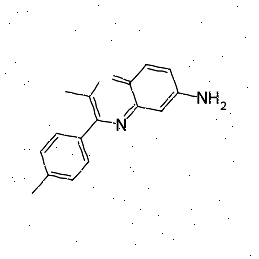 C=C1C=CC(N)=C/C1=N/C(=C(C)C)c1ccc(C)cc1